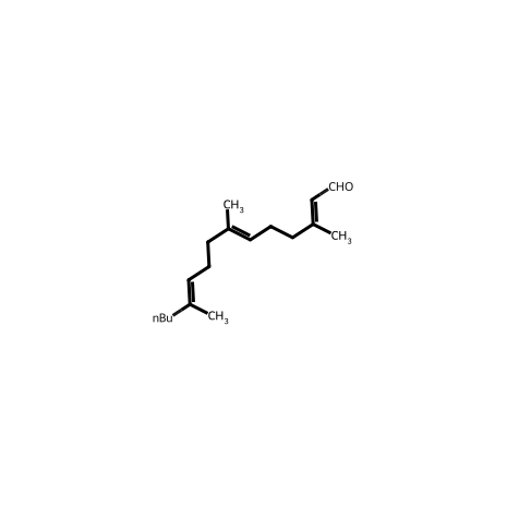 CCCCC(C)=CCCC(C)=CCCC(C)=CC=O